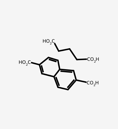 O=C(O)CCCC(=O)O.O=C(O)c1ccc2cc(C(=O)O)ccc2c1